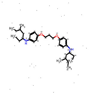 CCC(C)CC(CC)Nc1ccc(OCCCOc2ccc(NC(CC)CC(C)CC)cc2)cc1